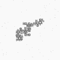 Cc1cccc(C(=O)NCCCCC(NC(=O)CNC(=O)C(CCC=O)NC(=O)CNC(=O)c2cccc(C(=O)Oc3c(F)c(F)cc(F)c3F)c2)C(=O)O)c1